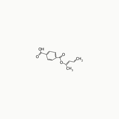 C=CC=C(C)OC(=O)c1ccc(C(=O)O)cc1